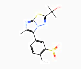 COc1ccc(-c2c(C)nc3sc(C(C)(C)O)nn23)cc1[SH](=O)=O